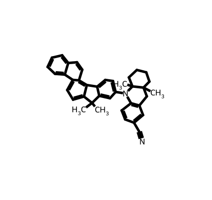 CC1(C)c2cc(N3c4ccc(C#N)cc4CC4(C)CCCCC34C)ccc2-c2c1ccc1c2ccc2ccccc21